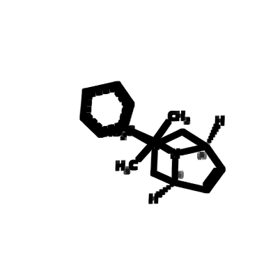 CC(C)(c1ccccc1)N1[C@@H]2C=C[C@H]1CN(C(=O)O)C2